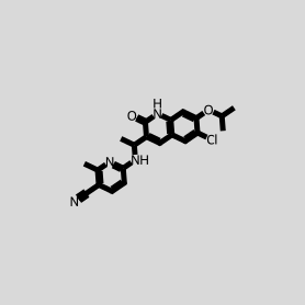 Cc1nc(NC(C)c2cc3cc(Cl)c(OC(C)C)cc3[nH]c2=O)ccc1C#N